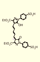 CCOC(=O)C1=NN(c2ccc(S(=O)(=O)O)cc2)C(=O)/C1=C\C=CC=Cc1c(C(=O)OCC)nn(-c2ccc(S(=O)(=O)O)cc2)c1O